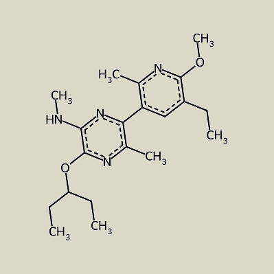 CCc1cc(-c2nc(NC)c(OC(CC)CC)nc2C)c(C)nc1OC